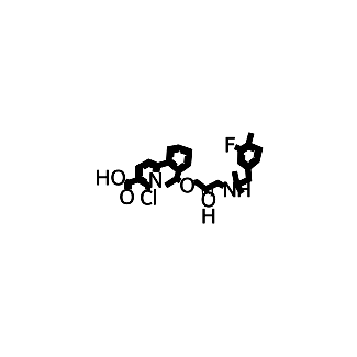 Cc1ccc(CC(C)(C)NC[C@@H](O)COC(C)c2ccccc2-c2ccc(C(=O)O)c(Cl)n2)cc1F